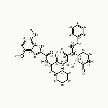 COc1ccc(OC)c2oc(C(=O)NC(CC3CCCCC3)C(=O)N[C@@H](C[C@@H]3CCCNC3=O)C(=O)C(=O)NCc3ccccc3)cc12